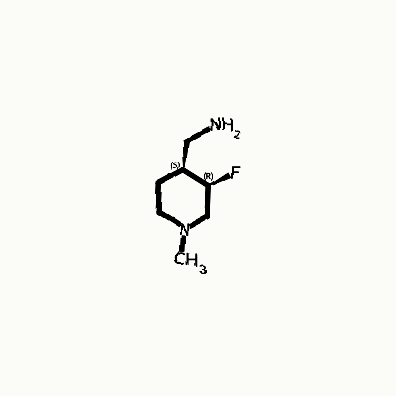 CN1CC[C@@H](CN)[C@@H](F)C1